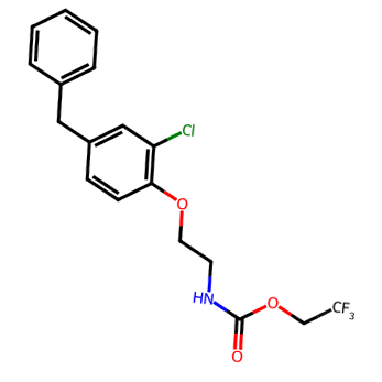 O=C(NCCOc1ccc(Cc2ccccc2)cc1Cl)OCC(F)(F)F